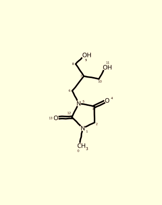 CN1CC(=O)N(CC(CO)CO)C1=O